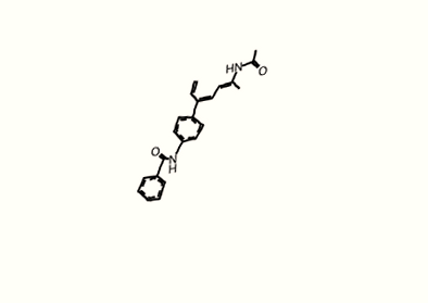 C=C/C(=C\C=C(/C)NC(C)=O)c1ccc(NC(=O)c2ccccc2)cc1